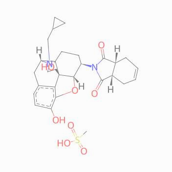 CS(=O)(=O)O.O=C1[C@H]2CC=CC[C@H]2C(=O)N1[C@@H]1CCC2(O)[C@H]3Cc4ccc(O)c5c4[C@@]2(CCN3CC2CC2)[C@H]1O5